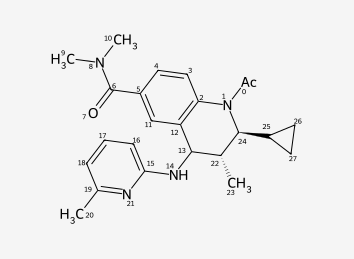 CC(=O)N1c2ccc(C(=O)N(C)C)cc2C(Nc2cccc(C)n2)[C@@H](C)[C@@H]1C1CC1